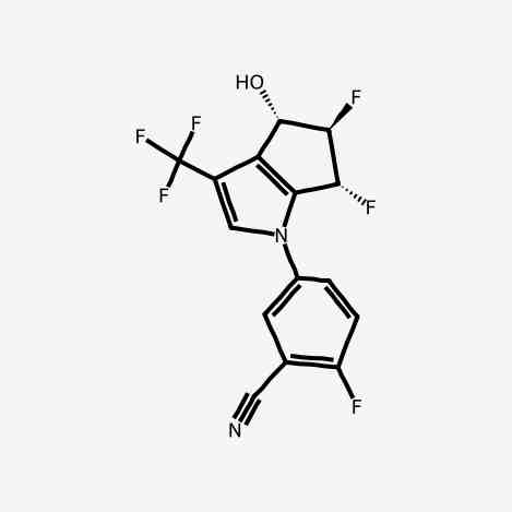 N#Cc1cc(-n2cc(C(F)(F)F)c3c2[C@@H](F)[C@H](F)[C@H]3O)ccc1F